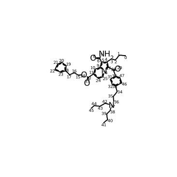 CCCCc1c(C(N)=O)c2cc(C(=O)OCCCc3ccccc3)ccn2c1C(=O)c1ccc(CCCN(CCCC)CCCC)cc1